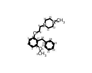 COc1cccc(OCCN2CCN(C)CC2)c1Cc1ccccc1